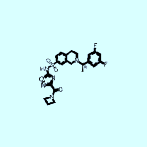 C[C@H](c1cc(F)cc(F)c1)N1CCc2ccc(S(=O)(=O)Nc3nc(C(=O)N4CCC4)no3)cc2C1